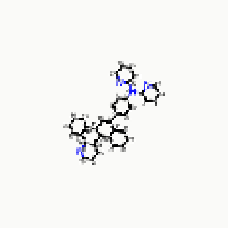 c1ccc(N(c2ccc(-c3cc4c5ccccc5c5ncccc5c4c4ccccc34)cc2)c2ccccn2)nc1